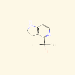 CC(C)(O)c1nccc2c1CCN2